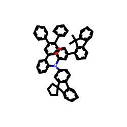 CC1(C)c2ccccc2-c2cccc(-c3cccc(N(c4ccc5c(c4)C4(CCCC4)c4ccccc4-5)c4ccccc4-c4ccc(-c5ccccc5)c(-c5ccccc5)c4)c3)c21